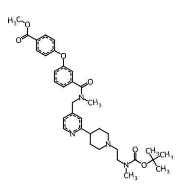 COC(=O)c1ccc(Oc2cccc(C(=O)N(C)Cc3ccnc(C4CCN(CCN(C)C(=O)OC(C)(C)C)CC4)c3)c2)cc1